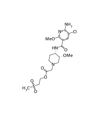 COc1nc(N)c(Cl)cc1C(=O)N[C@H]1CCN(CC(=O)OCCS(C)(=O)=O)C[C@H]1OC